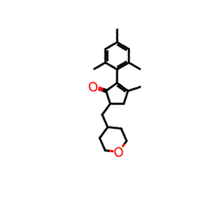 CC1=C(c2c(C)cc(C)cc2C)C(=O)C(CC2CCOCC2)C1